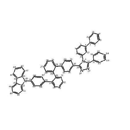 c1ccc(-c2cccc(-n3c(-c4ccccc4)nnc3-c3ccc(-c4ccccc4-c4ccccc4-c4ccc(-n5c6ccccc6c6ccccc65)cc4)cc3)c2)cc1